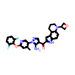 Cc1cc(Oc2c(F)cccc2F)ncc1-n1ncc(C(=O)c2cc3c4c(ccc3[nH]2)N(C2COC2)CCC4)c1N